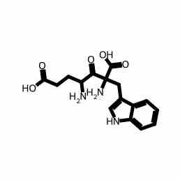 NC(CCC(=O)O)C(=O)C(N)(Cc1c[nH]c2ccccc12)C(=O)O